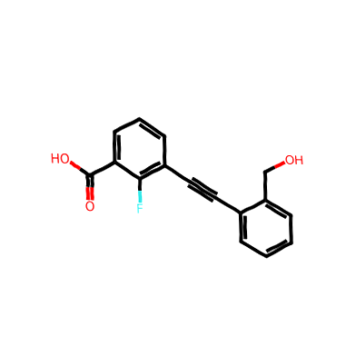 O=C(O)c1cccc(C#Cc2ccccc2CO)c1F